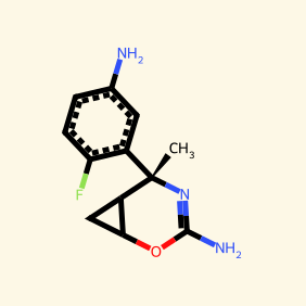 C[C@@]1(c2cc(N)ccc2F)N=C(N)OC2CC21